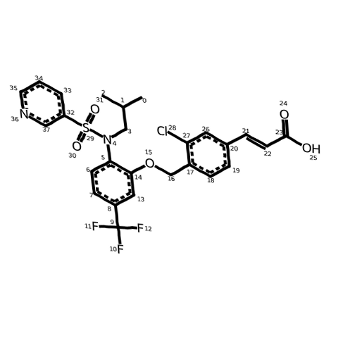 CC(C)CN(c1ccc(C(F)(F)F)cc1OCc1ccc(C=CC(=O)O)cc1Cl)S(=O)(=O)c1cccnc1